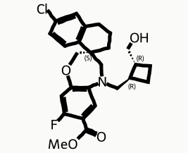 COC(=O)c1cc2c(cc1F)OC[C@]1(CCCc3cc(Cl)ccc31)CN2C[C@@H]1CC[C@H]1CO